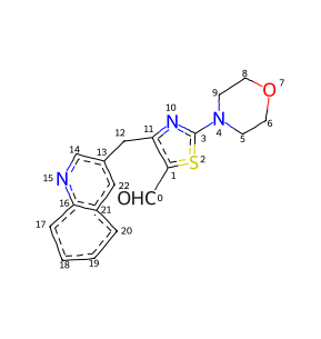 O=Cc1sc(N2CCOCC2)nc1Cc1cnc2ccccc2c1